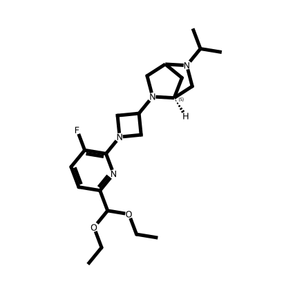 CCOC(OCC)c1ccc(F)c(N2CC(N3CC4C[C@H]3CN4C(C)C)C2)n1